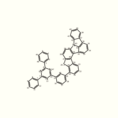 c1ccc(-c2nc(-c3ccccc3)nc(-c3cccc(-c4cccc5c4sc4ccc6c(c7cccc8c9ccccc9n6c87)c45)c3)n2)cc1